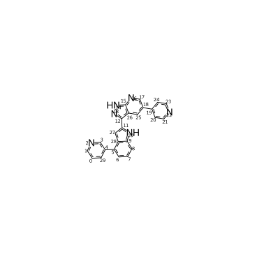 c1cncc(-c2cccc3[nH]c(-c4n[nH]c5ncc(-c6ccncc6)cc45)cc23)c1